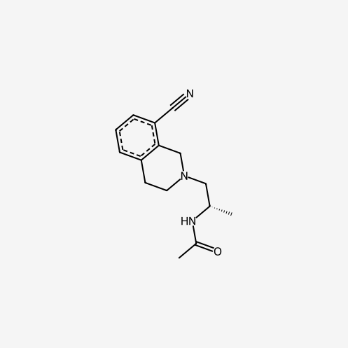 CC(=O)N[C@@H](C)CN1CCc2cccc(C#N)c2C1